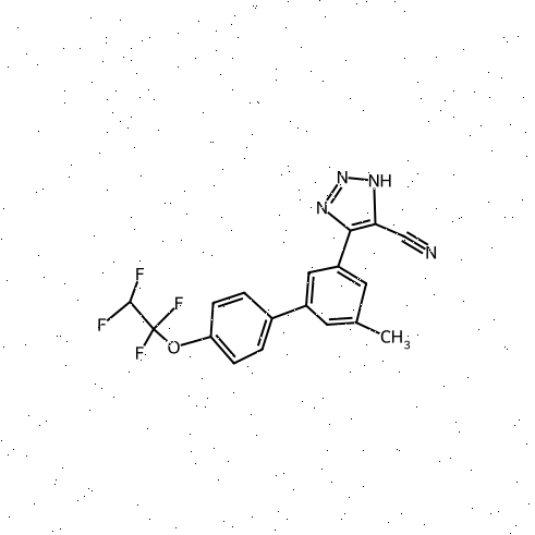 Cc1cc(-c2ccc(OC(F)(F)C(F)F)cc2)cc(-c2nn[nH]c2C#N)c1